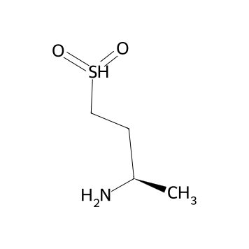 C[C@@H](N)CC[SH](=O)=O